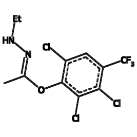 CCNN=C(C)Oc1c(Cl)cc(C(F)(F)F)c(Cl)c1Cl